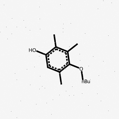 CCCCOc1c(C)cc(O)c(C)c1C